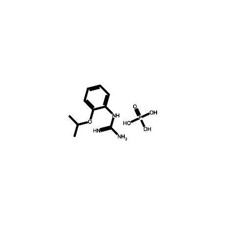 CC(C)Oc1ccccc1NC(=N)N.O=P(O)(O)O